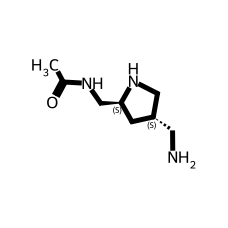 CC(=O)NC[C@@H]1C[C@@H](CN)CN1